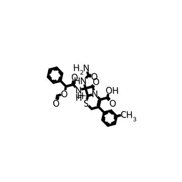 Cc1cccc(C2=C(C(=O)O)N3C(=O)C(NC(N)=O)(NC(=O)C(OC=O)c4ccccc4)[C@@H]3SC2)c1